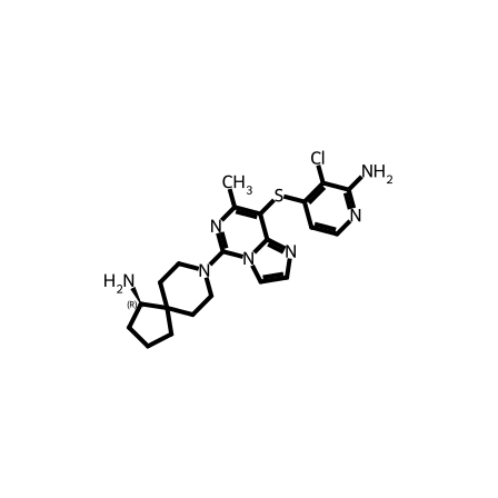 Cc1nc(N2CCC3(CCC[C@H]3N)CC2)n2ccnc2c1Sc1ccnc(N)c1Cl